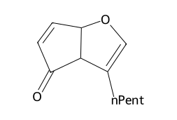 CCCCCC1=COC2C=CC(=O)C12